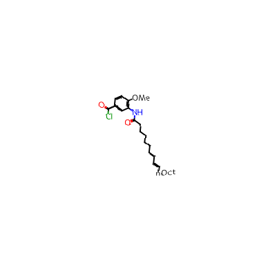 CCCCCCCCC=CCCCCCCCC(=O)Nc1cc(C(=O)Cl)ccc1OC